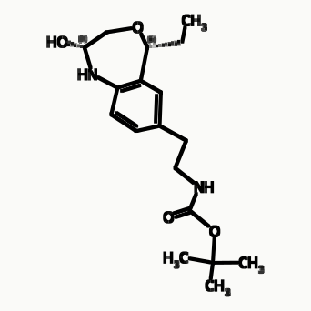 CC[C@H]1OC[C@@H](O)Nc2ccc(CCNC(=O)OC(C)(C)C)cc21